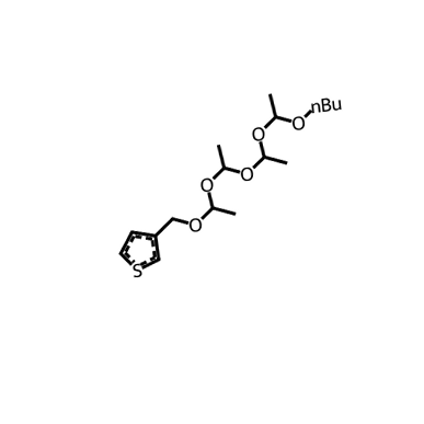 CCCCOC(C)OC(C)OC(C)OC(C)OCc1ccsc1